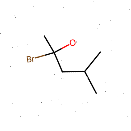 CC(C)CC(C)([O])Br